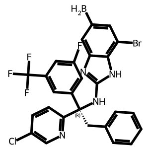 Bc1cc(Br)c2[nH]c(N[C@](Cc3ccccc3)(c3cc(F)cc(C(F)(F)F)c3)c3ccc(Cl)cn3)nc2c1